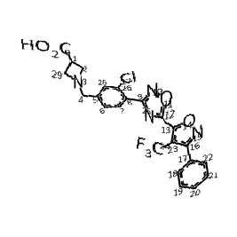 O=C(O)C1CN(Cc2ccc(-c3noc(-c4onc(-c5ccccc5)c4C(F)(F)F)n3)c(Cl)c2)C1